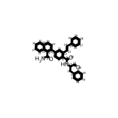 NC(=O)c1c(-c2ccc(C(=O)NC(C=O)Cc3ccccc3)c(C=Cc3ccccc3)c2)ccc2ccccc12